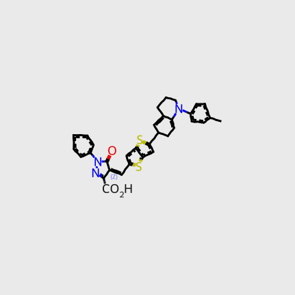 Cc1ccc(N2CCCC3=CC(c4cc5sc(/C=C6\C(=O)N(c7ccccc7)N=C6C(=O)O)cc5s4)CC=C32)cc1